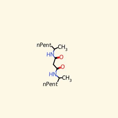 CCCCCC(C)NC(=O)CC(=O)NC(C)CCCCC